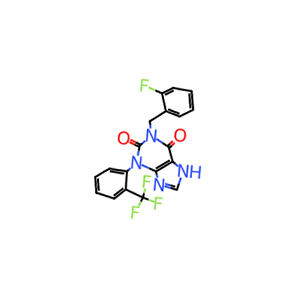 O=c1c2[nH]cnc2n(-c2ccccc2C(F)(F)F)c(=O)n1Cc1ccccc1F